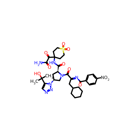 CC(C)(O)c1cnnn1[C@H]1C[C@@H](C(=O)NC2(C(=O)C(N)=O)CCS(=O)(=O)CC2)N(C(=O)/C(CC2CCCCC2)=N/C(=O)c2ccc([N+](=O)[O-])cc2)C1